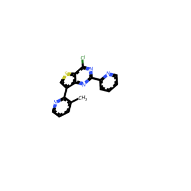 Cc1cccnc1-c1csc2c(Cl)nc(-c3ccccn3)nc12